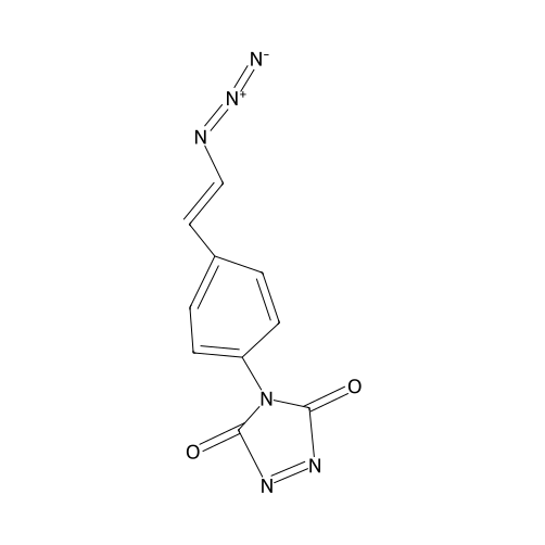 [N-]=[N+]=NC=Cc1ccc(N2C(=O)N=NC2=O)cc1